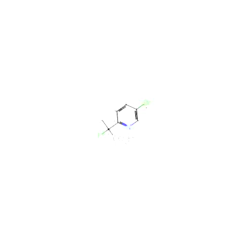 CCOC(=O)C(C)(F)c1ccc(Br)cn1